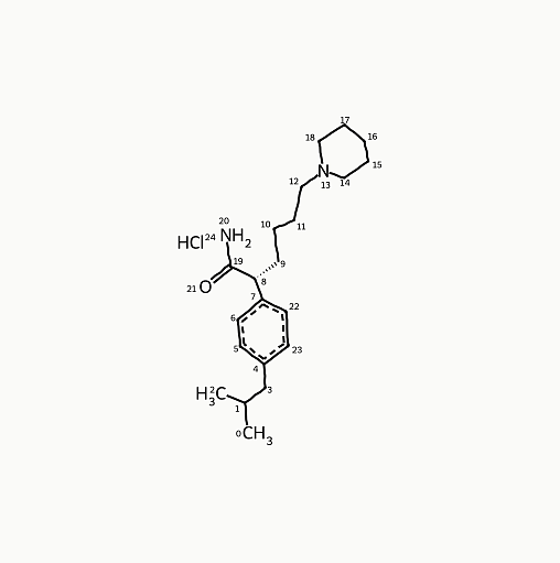 CC(C)Cc1ccc([C@@H](CCCCN2CCCCC2)C(N)=O)cc1.Cl